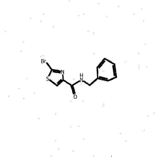 O=C(NCc1ccccc1)c1csc(Br)n1